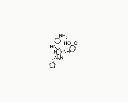 COc1cccc(CNc2nc(NC3CCC(N)CC3)nc3c2ncn3Cc2ccccc2)c1O